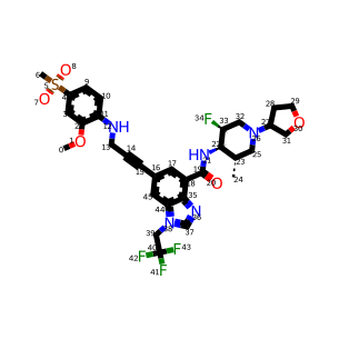 COc1cc(S(C)(=O)=O)ccc1NCC#Cc1cc(C(=O)N[C@@H]2[C@@H](C)CN(C3CCOC3)C[C@@H]2F)c2ncn(CC(F)(F)F)c2c1